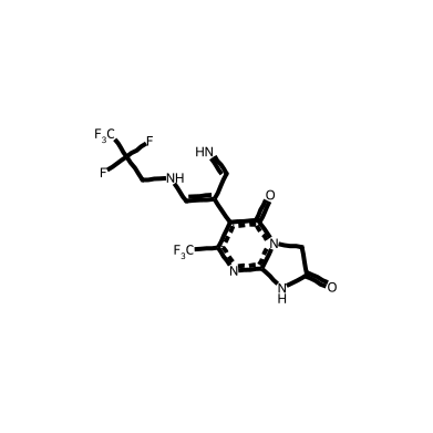 N=C/C(=C\NCC(F)(F)C(F)(F)F)c1c(C(F)(F)F)nc2n(c1=O)CC(=O)N2